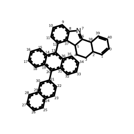 C1=CC2CCC3C(=Nc4cccc(-c5c6ccccc6c(-c6ccc7ccccc7c6)c6ccccc56)c43)C2C=C1